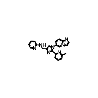 Cc1cccc(-c2nc(CNc3ccccn3)cn2-c2ccc3nccn3c2)n1